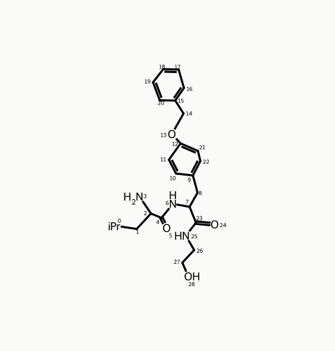 CC(C)CC(N)C(=O)NC(Cc1ccc(OCc2ccccc2)cc1)C(=O)NCCO